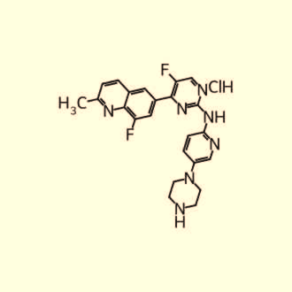 Cc1ccc2cc(-c3nc(Nc4ccc(N5CCNCC5)cn4)ncc3F)cc(F)c2n1.Cl